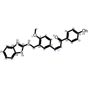 COc1ccc(/C=C\C(=O)c2ccc(O)cc2)cc1CSc1nc2ccccc2s1